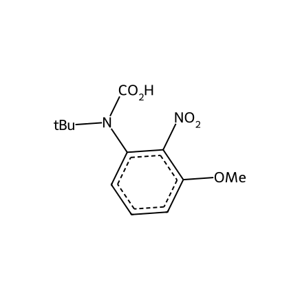 COc1cccc(N(C(=O)O)C(C)(C)C)c1[N+](=O)[O-]